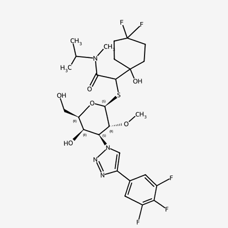 CO[C@@H]1[C@@H](n2cc(-c3cc(F)c(F)c(F)c3)nn2)[C@@H](O)[C@@H](CO)O[C@H]1SC(C(=O)N(C)C(C)C)C1(O)CCC(F)(F)CC1